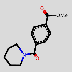 COC(=O)c1ccc(C(=O)N2CCCCC2)cc1